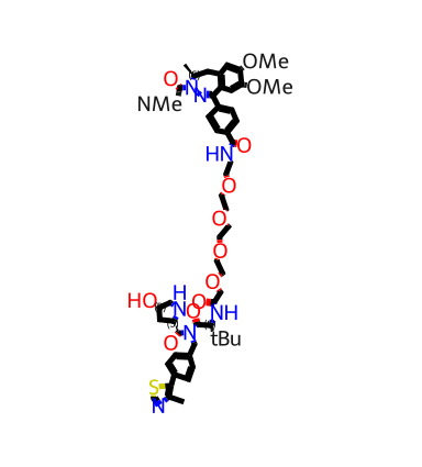 CNC(=O)N1N=C(c2ccc(C(=O)NCCOCCOCCOCCOCC(=O)N[C@H](C(=O)N(Cc3ccc(-c4scnc4C)cc3)C(=O)[C@@H]3C[C@@H](O)CN3)C(C)(C)C)cc2)c2cc(OC)c(OC)cc2C[C@@H]1C